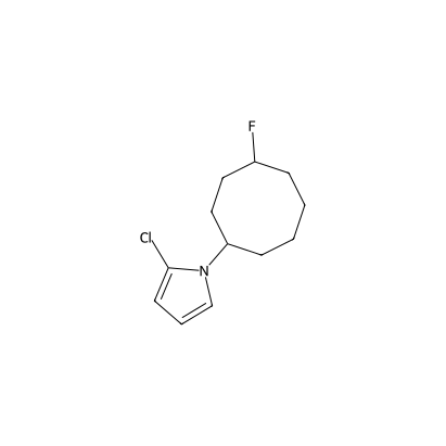 FC1CCCCC(n2cccc2Cl)CC1